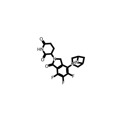 O=C1CCC(N2Cc3c(c(F)c(F)c(F)c3N3CC4CC(C3)N4)C2=O)C(=O)N1